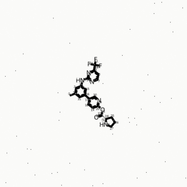 Cc1cc(Nc2nccc(C(F)(F)F)n2)cc(-c2ccc(OC(=O)[C@@H]3CCCN3)nc2)c1